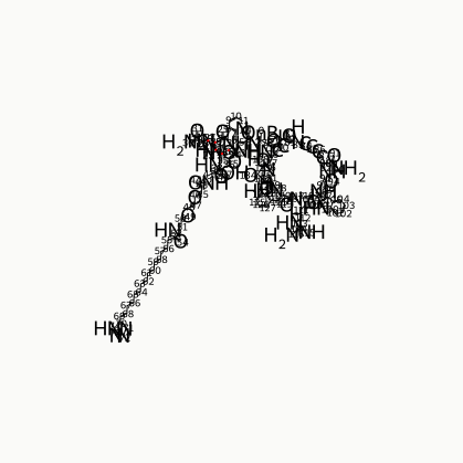 CCCC[C@H](NC(=O)[C@H](Cc1ccccn1)NC(=O)[C@H](Cc1c[nH]cn1)NC(=O)[C@H](CCC(N)=O)NC(=O)[C@H](CO)NC(=O)CNC(=O)COCCOCCNC(=O)CCCCCCCCCCCCCCCc1nnn[nH]1)C(=O)N[C@H]1CCC(=O)NCCCC[C@@H](C(N)=O)NC(=O)[C@H](Cc2c[nH]c3ccccc23)NC(=O)[C@H](CCCNC(=N)N)NC(=O)[C@@H](Cc2ccccc2)NC(=O)[C@@H]2C[C@@H](O)CN2C1=O